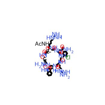 CC(=O)N[C@@H](CCCNC(=N)N)C(=O)N[C@H]1CCC(=O)NC(=O)CC[C@@H](C(N)=O)NC(=O)[C@H](Cc2c[nH]c3ccccc23)NC(=O)[C@H](CCCNC(=N)N)NC(=O)[C@@H](Cc2ccccc2Cl)NC(=O)[C@H](CCC(N)=O)NC1=O